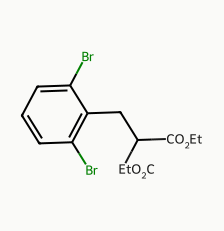 CCOC(=O)C(Cc1c(Br)cccc1Br)C(=O)OCC